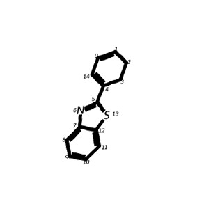 C1=CCCC(c2nc3ccccc3s2)=C1